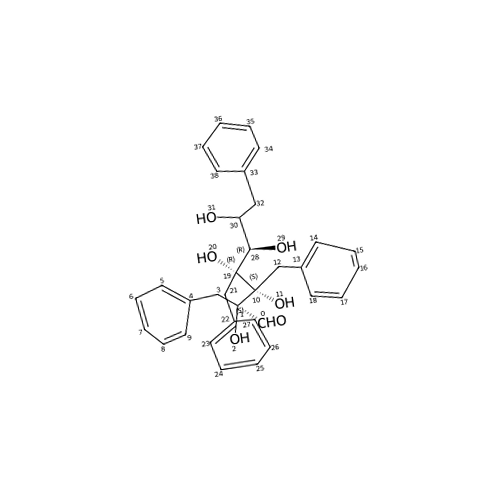 O=C[C@](O)(Cc1ccccc1)[C@](O)(Cc1ccccc1)[C@@](O)(Cc1ccccc1)[C@H](O)C(O)Cc1ccccc1